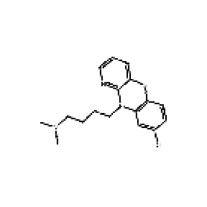 CN(C)CCCCN1c2cc(Cl)ccc2Sc2cccnc21